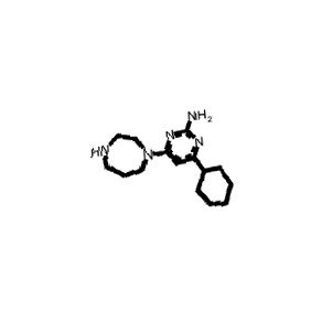 Nc1nc(C2CCCCC2)cc(N2CCCNCC2)n1